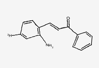 [2H]c1ccc(/C=C/C(=O)c2ccccc2)c(N)c1